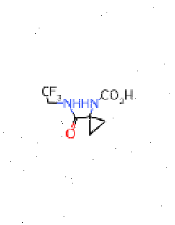 O=C(O)NC1(C(=O)NCC(F)(F)F)CC1